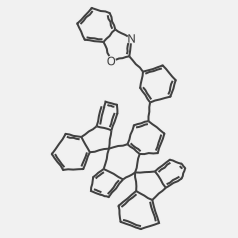 c1cc(-c2ccc3c(c2)C2(c4ccccc4-c4ccccc42)c2ccccc2C32c3ccccc3-c3ccccc32)cc(-c2nc3ccccc3o2)c1